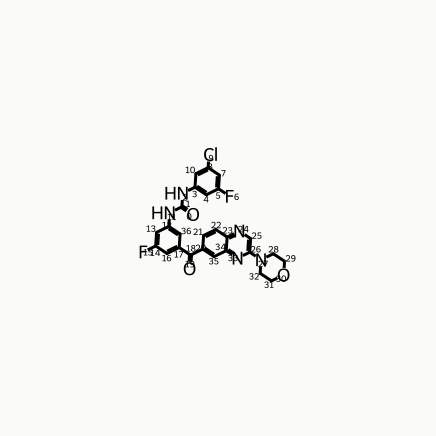 O=C(Nc1cc(F)cc(Cl)c1)Nc1cc(F)cc(C(=O)c2ccc3ncc(N4CCOCC4)nc3c2)c1